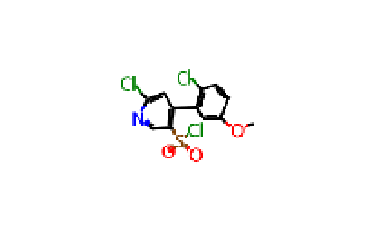 COc1ccc(Cl)c(-c2cc(Cl)ncc2S(=O)(=O)Cl)c1